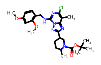 COc1ccc(CNc2nc(Cl)c(C)c3nc(C4CCC(C)N(C(=O)OC(C)(C)C)C4)nn23)c(OC)c1